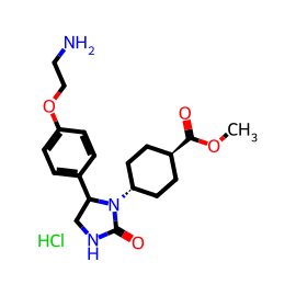 COC(=O)[C@H]1CC[C@H](N2C(=O)NCC2c2ccc(OCCN)cc2)CC1.Cl